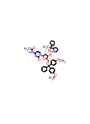 COc1ccc(C(OC[C@H]2O[C@@H](n3ccc(NC(C)=O)nc3=O)[C@H](F)[C@@H]2O[P@@]2O[C@](C)(C3CCCC3)[C@@H]3CCCN32)(c2ccccc2)c2ccc(OC)cc2)cc1